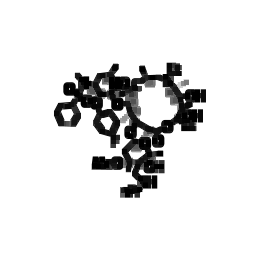 CCCNC[C@]1(O)[C@H](C)O[C@@H](O[C@H]2[C@H](C)[C@@H](O[C@@H]3O[C@H](C)C[C@H](N(C)S(=O)(=O)c4ccccc4)[C@H]3Oc3ccc(F)cc3)[C@](C)(O)C[C@@H](C)CN(CC)[C@H](C)[C@@H](O)[C@](C)(O)[C@@H](CC)OC(=O)[C@@H]2C)C[C@@]1(C)OC